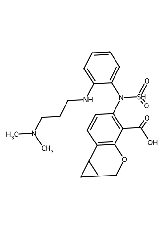 CN(C)CCCNc1ccccc1N(c1ccc2c(c1C(=O)O)OCC1CC21)[SH](=O)=O